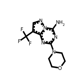 Nc1nc(N2CCOCC2)nc2c(C(F)(F)F)cnn12